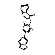 O=c1c2cccnc2ncn1Cc1c(F)cc(-c2ccc3cccn3c2)cc1F